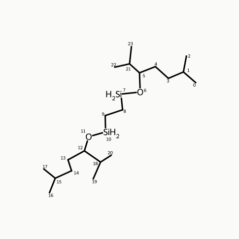 CC(C)CCC(O[SiH2]CC[SiH2]OC(CCC(C)C)C(C)C)C(C)C